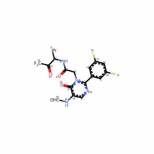 CC(C)C(NC(=O)Cn1c(-c2cc(F)cc(F)c2)ncc(NC=O)c1=O)C(=O)C(F)(F)F